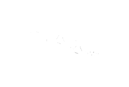 CCCC1CCC(c2ccc(COc3ccc(OC)c(F)c3F)cc2)OC1